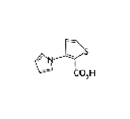 O=C(O)c1sccc1-n1cccc1